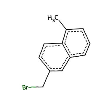 Cc1cccc2cc(CBr)ccc12